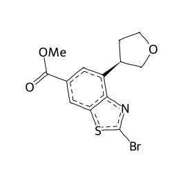 COC(=O)c1cc([C@H]2CCOC2)c2nc(Br)sc2c1